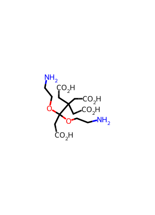 NCCOC(CC(=O)O)(OCCN)C(CC(=O)O)(CC(=O)O)CC(=O)O